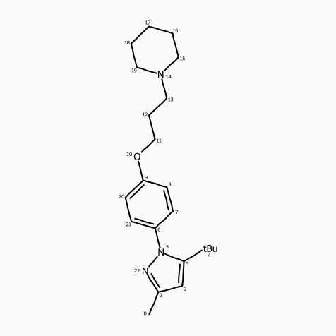 Cc1cc(C(C)(C)C)n(-c2ccc(OCCCN3CCCCC3)cc2)n1